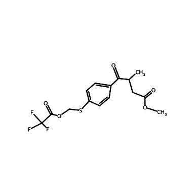 COC(=O)CC(C)C(=O)c1ccc(SCOC(=O)C(F)(F)F)cc1